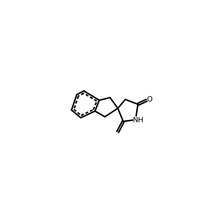 C=C1NC(=O)CC12Cc1ccccc1C2